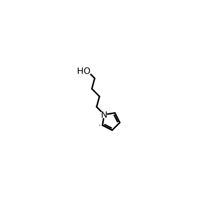 OCCCCn1[c]ccc1